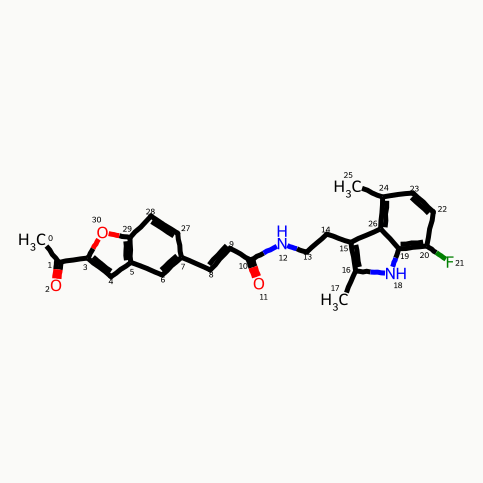 CC(=O)c1cc2cc(/C=C/C(=O)NCCc3c(C)[nH]c4c(F)ccc(C)c34)ccc2o1